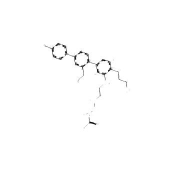 C=C(C)NOOCCOc1cc(-c2ccc(-c3ccc(C)cc3)cc2CC)ccc1CCCO